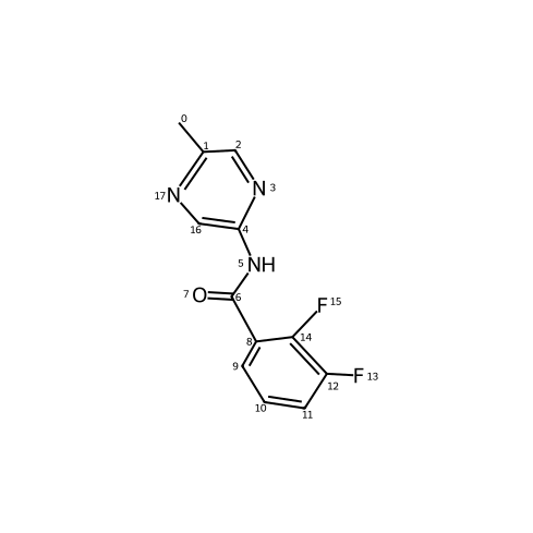 Cc1cnc(NC(=O)c2cccc(F)c2F)cn1